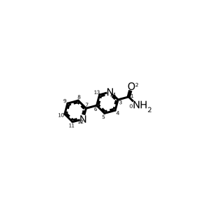 NC(=O)c1ccc(-c2ccccn2)cn1